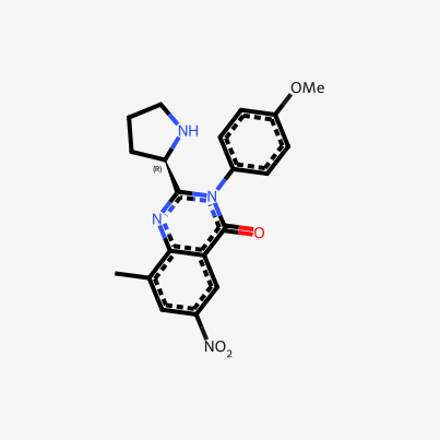 COc1ccc(-n2c([C@H]3CCCN3)nc3c(C)cc([N+](=O)[O-])cc3c2=O)cc1